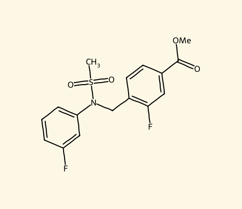 COC(=O)c1ccc(CN(c2cccc(F)c2)S(C)(=O)=O)c(F)c1